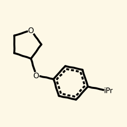 CC(C)c1ccc(OC2CCOC2)cc1